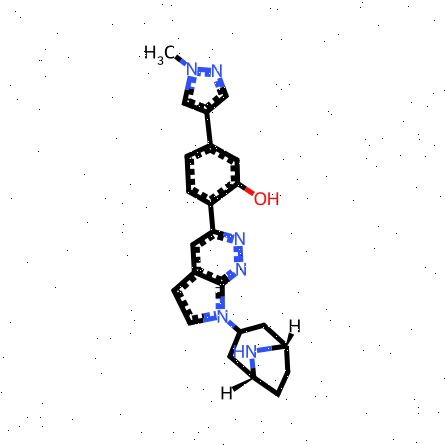 Cn1cc(-c2ccc(-c3cc4ccn(C5C[C@H]6CC[C@@H](C5)N6)c4nn3)c(O)c2)cn1